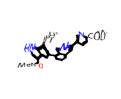 CNC(=O)c1c[nH]c2c(C(C)C)cc(-c3cccc4cc(-c5ccc(C(=O)[O-])nc5)ncc34)cc12.[Li+]